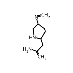 C=NC1CCC(CC(=C)N)NC1